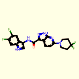 O=C(Nc1c[nH]c2cc(F)c(F)cc12)c1n[nH]c2nc(N3CCC(F)(F)CC3)ccc12